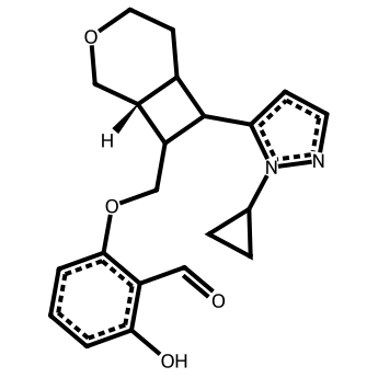 O=Cc1c(O)cccc1OCC1C(c2ccnn2C2CC2)C2CCOC[C@H]21